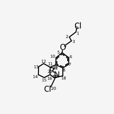 ClCCCOc1ccc2c(c1)C13CCCCC1C(C2)N(Cl)CC3